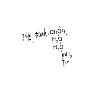 O.O.O.O.O.[GaH3].[InH3].[InH3].[Ta].[Ta]